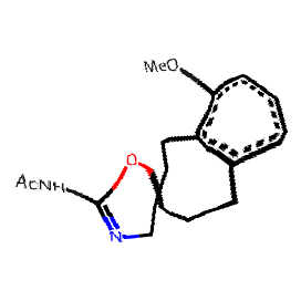 COc1cccc2c1CC1(CC2)CN=C(NC(C)=O)O1